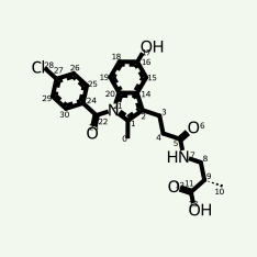 Cc1c(CCC(=O)NC[C@H](C)C(=O)O)c2cc(O)ccc2n1C(=O)c1ccc(Cl)cc1